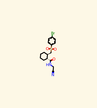 N#CCNC(=O)[C@@H]1CCCC[C@H]1CS(=O)(=O)c1ccc(Br)cc1